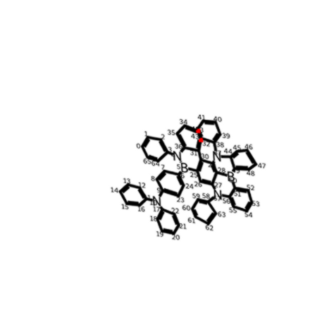 c1ccc(N2B(c3ccc(N(c4ccccc4)c4ccccc4)cc3)c3cc4c5c(c3-c3ccccc32)N(c2ccccc2)c2ccccc2B5c2ccccc2N4c2ccccc2)cc1